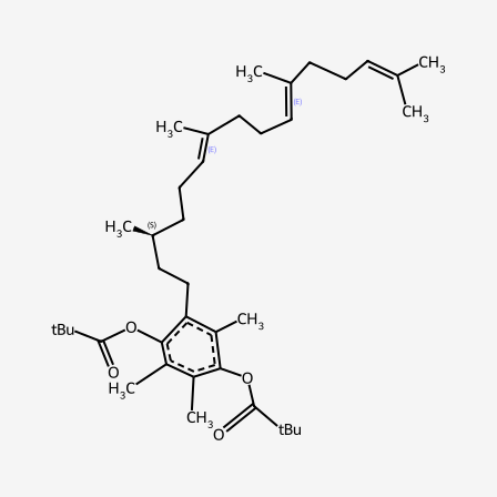 CC(C)=CCC/C(C)=C/CC/C(C)=C/CC[C@H](C)CCc1c(C)c(OC(=O)C(C)(C)C)c(C)c(C)c1OC(=O)C(C)(C)C